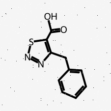 O=C(O)c1snnc1Cc1ccccc1